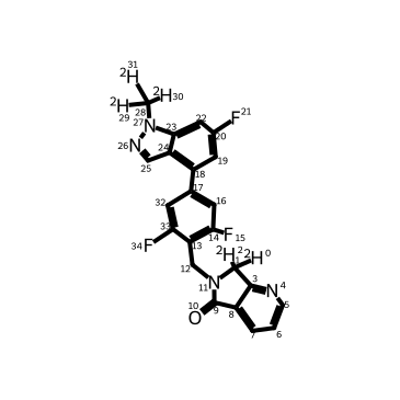 [2H]C1([2H])c2ncccc2C(=O)N1Cc1c(F)cc(-c2cc(F)cc3c2cnn3C([2H])([2H])[2H])cc1F